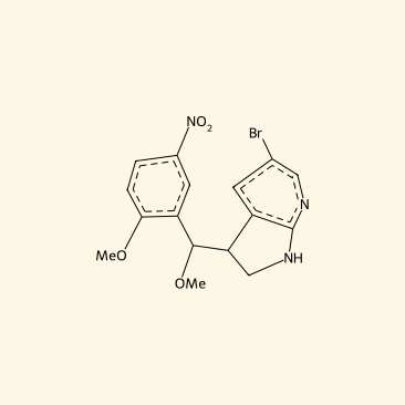 COc1ccc([N+](=O)[O-])cc1C(OC)C1CNc2ncc(Br)cc21